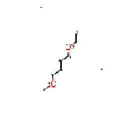 [CH2]COCCCCOC